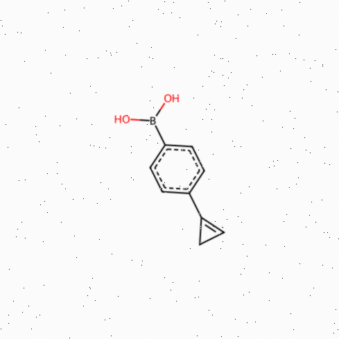 OB(O)c1ccc(C2=CC2)cc1